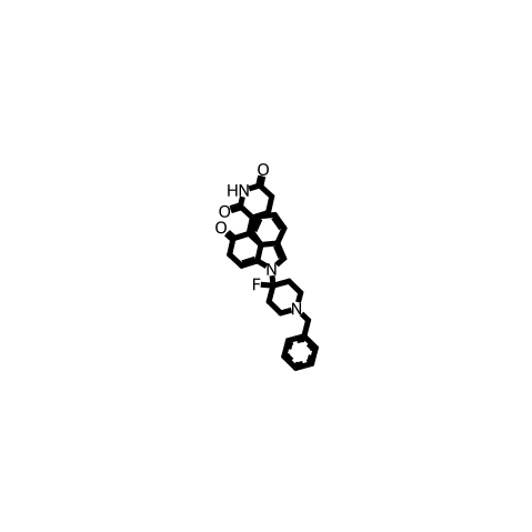 O=C1CCC(C2C(=O)CC=C3N(C4(F)CCN(Cc5ccccc5)CC4)C=C4C=CC=CC432)C(=O)N1